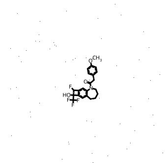 COc1ccc(CC(=O)N2CCCCc3cc4c(cc32)C(F)C4(O)C(F)(F)F)cc1